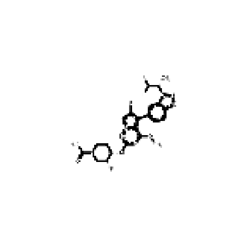 COc1nc(N[C@H]2CCN(C(C)=O)C[C@H]2F)nn2cc(F)c(-c3ccc4nnn([C@@H](C)C(F)F)c4c3)c12